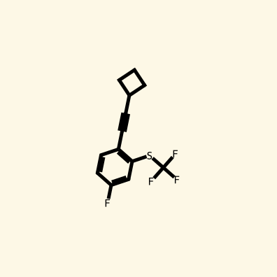 Fc1ccc(C#CC2CCC2)c(SC(F)(F)F)c1